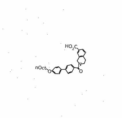 CCCCCCCCOc1ccc(-c2ccc(C(=O)N3CCc4ccc(C(=O)O)cc4C3)cc2)cc1